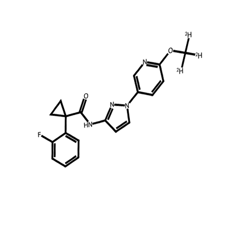 [2H]C([2H])([2H])Oc1ccc(-n2ccc(NC(=O)C3(c4ccccc4F)CC3)n2)cn1